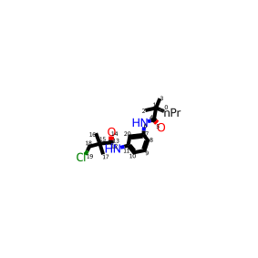 CCCC(C)(C)C(=O)Nc1cccc(NC(=O)C(C)(C)CCl)c1